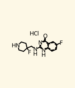 Cl.O=c1nc(NCC2(F)CCNCC2)[nH]c2ccc(F)cc12